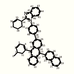 CC1C=CC=C(c2c3ccccc3c(-c3ccc4ccccc4c3)c3ccc(-c4ccc(-n5c(C6C=CCCC6)nc6ccccc65)cc4)cc23)C1